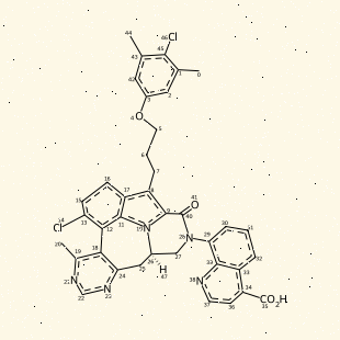 Cc1cc(OCCCc2c3n4c5c(c(Cl)ccc25)-c2c(C)ncnc2C[C@@H]4CN(c2cccc4c(C(=O)O)ccnc24)C3=O)cc(C)c1Cl